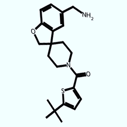 CC(C)(C)c1ccc(C(=O)N2CCC3(CC2)COc2ccc(CN)cc23)s1